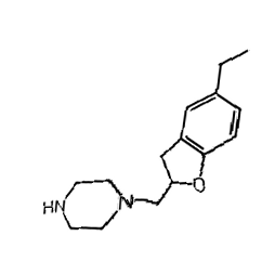 CCc1ccc2c(c1)CC(CN1CCNCC1)O2